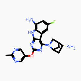 Cc1ncc(Oc2nc(N3CC4CC3C[C@H]4N)c3c(n2)[nH]c2c(N)cc(F)cc23)cn1